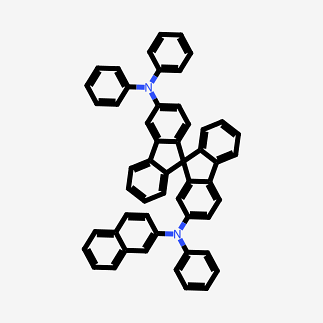 c1ccc(N(c2ccccc2)c2ccc3c(c2)-c2ccccc2C32c3ccccc3-c3ccc(N(c4ccccc4)c4ccc5ccccc5c4)cc32)cc1